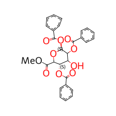 COC(=O)C1O[C@@H](OC(=O)c2ccccc2)C(OC(=O)c2ccccc2)C(O)[C@@H]1OC(=O)c1ccccc1